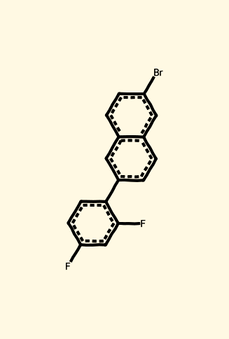 Fc1ccc(-c2ccc3cc(Br)ccc3c2)c(F)c1